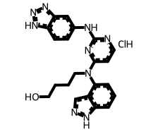 Cl.OCCCCN(c1ccnc(Nc2ccc3[nH]nnc3c2)n1)c1cccc2[nH]ncc12